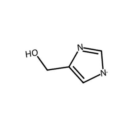 OCC1=C[N]C=N1